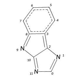 C1=NC2=c3ccccc3=NC2=N1